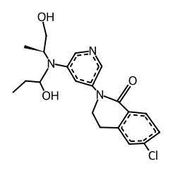 CCC(O)N(c1cncc(N2CCc3cc(Cl)ccc3C2=O)c1)[C@@H](C)CO